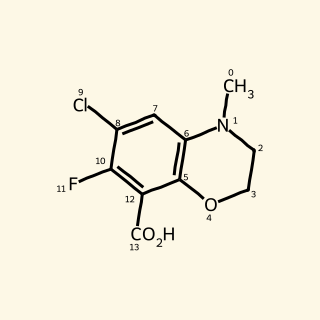 CN1CCOc2c1cc(Cl)c(F)c2C(=O)O